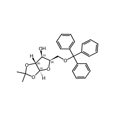 CC1(C)O[C@@H]2O[C@H](COC(c3ccccc3)(c3ccccc3)c3ccccc3)[C@H](O)[C@H]2O1